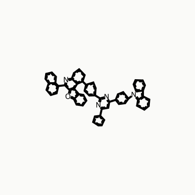 c1ccc(-c2cc(-c3ccc(-n4c5ccccc5c5ccccc54)cc3)nc(-c3ccc(-c4cccc5nc(-c6cccc7ccccc67)c6oc7ccccc7c6c45)cc3)n2)cc1